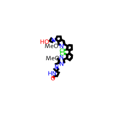 COc1nc(-c2cccc(-c3cccc(-c4cc5c(c(OC)n4)[C@H](N4CC(O)C4)CC5)c3Cl)c2Cl)cnc1CN1CC2(CCC(=O)N2)C1